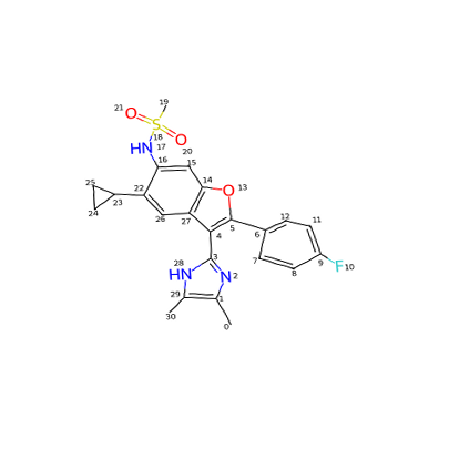 Cc1nc(-c2c(-c3ccc(F)cc3)oc3cc(NS(C)(=O)=O)c(C4CC4)cc23)[nH]c1C